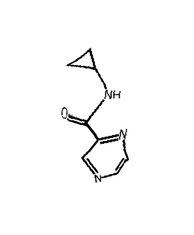 O=C(NC1CC1)c1cnccn1